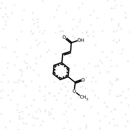 COC(=O)c1cccc(C=CC(=O)O)c1